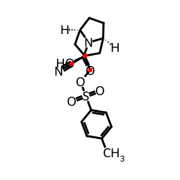 Cc1ccc(S(=O)(=O)OCC2(C#N)C[C@H]3CC[C@@H](C2)N3C(=O)O)cc1